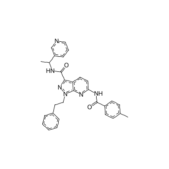 Cc1ccc(C(=O)Nc2ccc3c(C(=O)NC(C)c4cccnc4)nn(CCc4ccccc4)c3n2)cc1